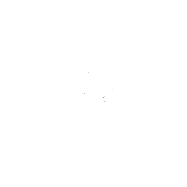 CC(=O)[C@H]1CC[C@H]2[C@@H]3CC[C@@H]4CC(=O)CC[C@]4(C)[C@H]3C=C[C@]12C